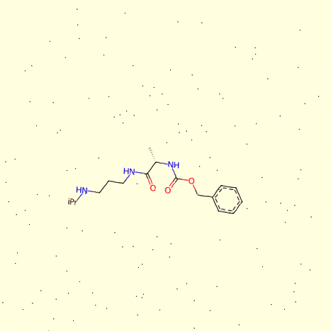 CC(C)NCCCNC(=O)[C@H](C)NC(=O)OCc1ccccc1